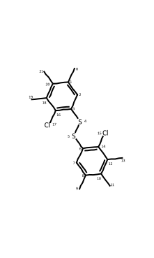 Cc1cc(SSc2cc(C)c(C)c(C)c2Cl)c(Cl)c(C)c1C